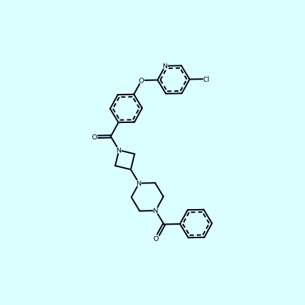 O=C(c1ccccc1)N1CCN(C2CN(C(=O)c3ccc(Oc4ccc(Cl)cn4)cc3)C2)CC1